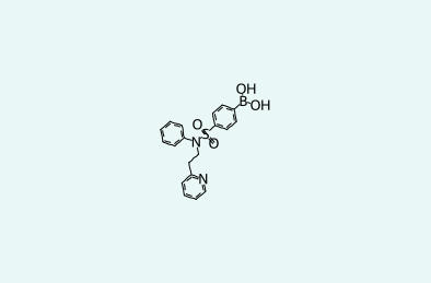 O=S(=O)(c1ccc(B(O)O)cc1)N(CCc1ccccn1)c1ccccc1